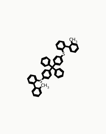 Cc1ccccc1-c1ccccc1Sc1ccc(C(c2ccccc2)(c2ccccc2)c2ccc(Sc3ccccc3-c3ccccc3C)cc2)cc1